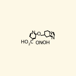 O=C(O)c1ccnc(OCC2CCn3ccnc3C2)c1.O=NO